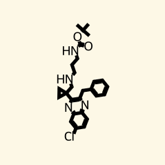 CC(C)(C)OC(=O)NCCCNCC1(c2nc3cc(Cl)ccc3nc2Cc2ccccc2)CC1